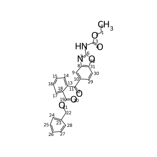 CCOC(=O)Nc1nc2cc(C(=O)c3ccccc3C(=O)OCc3ccccc3)ccc2o1